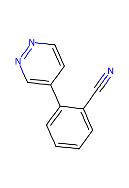 N#Cc1ccccc1-c1ccnnc1